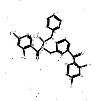 O=C(c1cccc(CN(C(=O)c2ccc(Cl)cc2Cl)C(Cc2ccccc2)C(=O)O)c1)c1ccc(F)cc1F